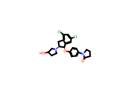 O=C1CCCN1c1ccc(O[C@H]2c3cc(Cl)cc(Cl)c3C[C@@H]2N2CCC(O)C2)cc1